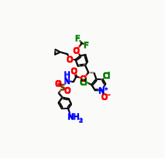 Nc1ccc(CS(=O)(=O)NCC(=O)O[C@@H](Cc2c(Cl)c[n+]([O-])cc2Cl)c2ccc(OC(F)F)c(OCC3CC3)c2)cc1